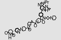 CC(C)n1cnc2cc(-c3ccc4c(c3)N(C3CC(N5CCCCC5)C3)C(=O)C43CCN(C(=O)C4CC45CCN(C(=O)C4CCN(c6ccc([C@H]7CCC(=O)NC7=O)cn6)CC4)C5)CC3)nc(NC3CC3)c21